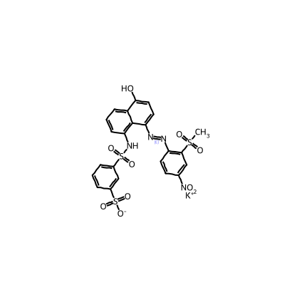 CS(=O)(=O)c1cc([N+](=O)[O-])ccc1/N=N/c1ccc(O)c2cccc(NS(=O)(=O)c3cccc(S(=O)(=O)[O-])c3)c12.[K+]